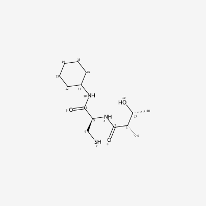 C[C@H](C(=O)N[C@@H](CS)C(=O)NC1CCCCC1)[C@@H](C)O